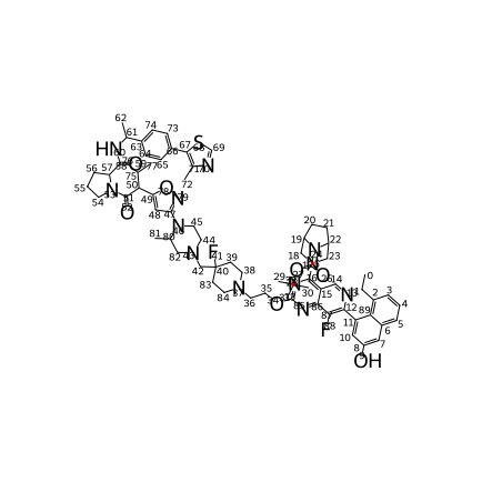 CCc1cccc2cc(O)cc(-c3ncc4c(N5CC6CCC(C5)N6C(=O)OC(C)(C)C)nc(OCCN5CCC(F)(CN6CCN(c7cc(C(C(=O)N8CCCC8C(=O)NC(C)c8ccc(-c9scnc9C)cc8)C(C)C)on7)C(C)C6)CC5)nc4c3F)c12